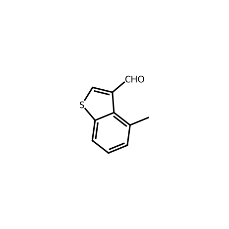 Cc1cccc2scc(C=O)c12